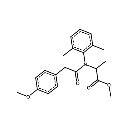 COC(=O)C(C)N(C(=O)Cc1ccc(OC)cc1)c1c(C)cccc1C